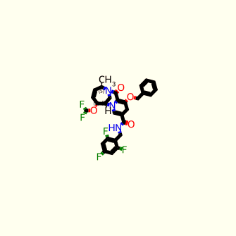 C[C@H]1C=C[C@H](OC(F)F)[C@H]2CN1C(=O)C1=C(OCc3ccccc3)CC(C(=O)NCc3c(F)cc(F)cc3F)=CN12